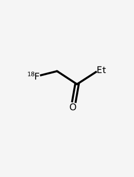 CCC(=O)C[18F]